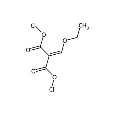 CCOC=C(C(=O)OCl)C(=O)OCl